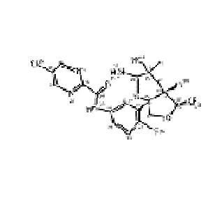 C[C@]1(C#N)C[C@@H]2[C@@H](C(F)(F)F)OC[C@]2(c2cc(NC(=O)c3ncc(Cl)cn3)ccc2F)N=C1N